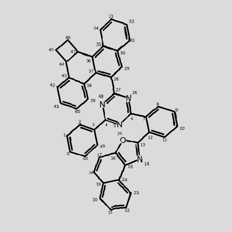 c1ccc(-c2nc(-c3ccccc3-c3nc4c(ccc5ccccc54)o3)nc(-c3cc4ccccc4c4c3-c3ccccc3C3CCC43)n2)cc1